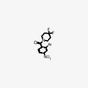 O=C(c1ccc([N+](=O)[O-])cc1Br)N1CCC(F)(F)CC1